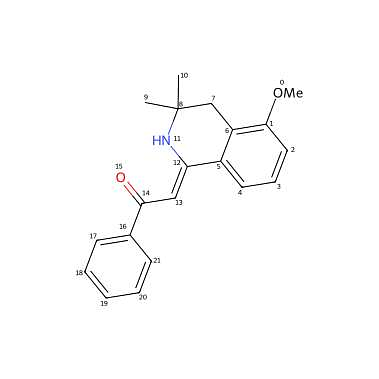 COc1cccc2c1CC(C)(C)N/C2=C\C(=O)c1ccccc1